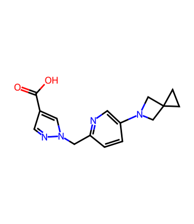 O=C(O)c1cnn(Cc2ccc(N3CC4(CC4)C3)cn2)c1